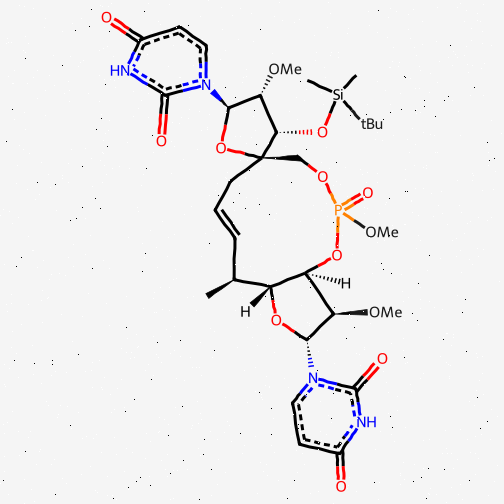 CO[C@@H]1[C@@H]2OP(=O)(OC)OC[C@@]3(C/C=C/[C@H](C)[C@H]2O[C@H]1n1ccc(=O)[nH]c1=O)O[C@@H](n1ccc(=O)[nH]c1=O)[C@H](OC)[C@@H]3O[Si](C)(C)C(C)(C)C